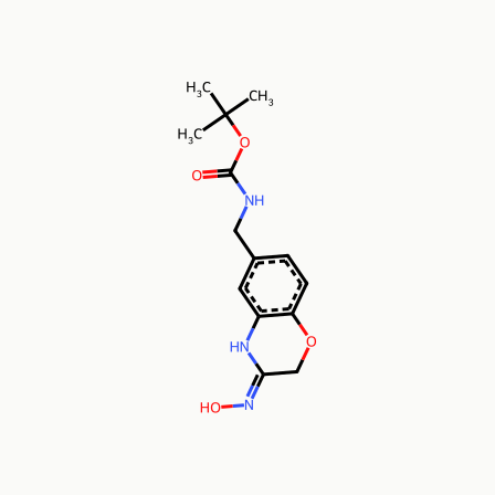 CC(C)(C)OC(=O)NCc1ccc2c(c1)NC(=NO)CO2